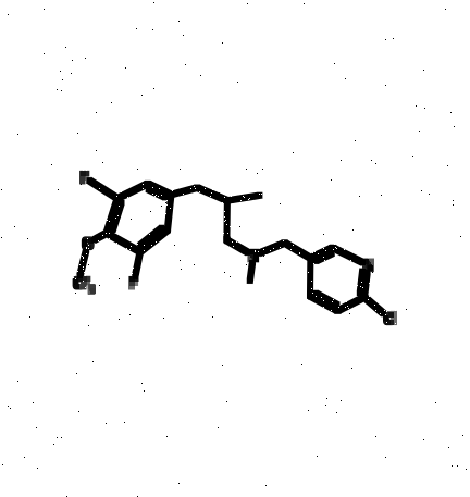 CC(Cc1cc(F)c(OC(F)(F)F)c(F)c1)CN(C)Cc1ccc(Cl)nc1